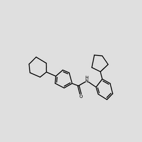 O=C(Nc1ccccc1C1CCCC1)c1ccc(C2CCCCC2)cc1